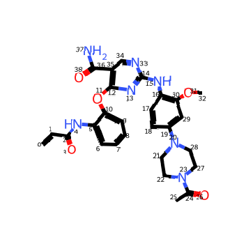 C=CC(=O)Nc1ccccc1Oc1nc(Nc2ccc(N3CCN(C(C)=O)CC3)cc2OC)ncc1C(N)=O